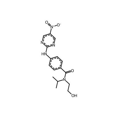 CC(C)N(CCO)C(=O)c1ccc(Nc2ncc([N+](=O)[O-])cn2)cc1